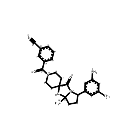 Bc1cc(C)cc(C2CCC3(C)OC4(CCN(C(=O)c5cccc(C#N)c5)CC4)C(=O)N23)c1